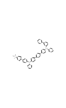 C[Si](C)(C)c1ccc(-c2ccc(N(c3ccccc3)c3ccc(-c4ccc(-c5ccc(N(c6ccccc6)c6cccc(-c7ccccc7)c6)cc5)cc4)cc3)cc2)cc1